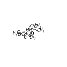 CCCCC(CC)n1c(CC)nc2c1C(=O)N(C)CN2c1ccc(OC)cc1Cl